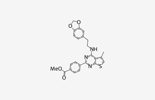 COC(=O)c1ccc(-c2nc(NCCc3ccc4c(c3)OCO4)c3c(C)csc3n2)cc1